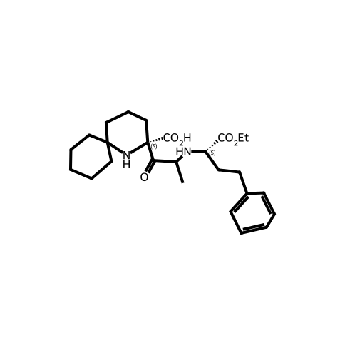 CCOC(=O)[C@H](CCc1ccccc1)NC(C)C(=O)[C@]1(C(=O)O)CCCC2(CCCCC2)N1